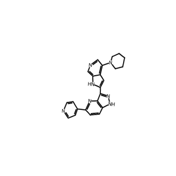 c1cc(-c2ccc3[nH]nc(-c4cc5c(N6CCCCC6)cncc5[nH]4)c3n2)ccn1